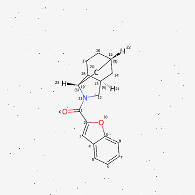 O=C(c1cc2ccccc2o1)N1C[C@@H]2C[C@H]3CCC2[C@@H]1C3